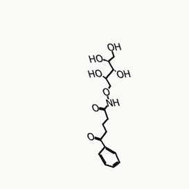 O=C(CCCC(=O)c1ccccc1)NOCC(O)[C@@H](O)[C@@H](O)CO